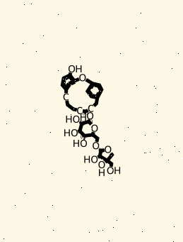 OCC1(O)CO[C@H](OCC2O[C@H](O[C@@H]3CCCCc4ccc(O)c(c4)Oc4ccc(cc4)CC3)[C@H](O)C(O)[C@H]2O)C1O